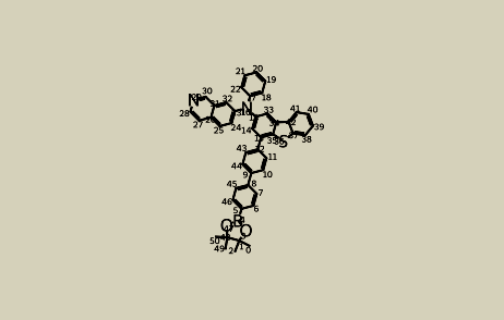 CC1(C)OB(c2ccc(-c3ccc(-c4cc(N(c5ccccc5)c5ccc6ccncc6c5)cc5c4sc4ccccc45)cc3)cc2)OC1(C)C